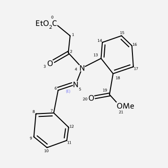 CCOC(=O)CC(=O)N(/N=C/c1ccccc1)c1ccccc1C(=O)OC